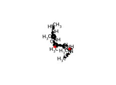 CNCCNCc1ccc(NC(=O)c2ccc(C)c(C#Cc3cnc(Nc4cnn(CCCOC)c4C)nc3)c2)cc1C